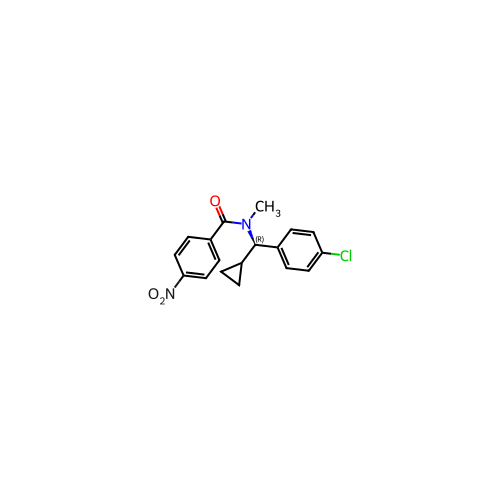 CN(C(=O)c1ccc([N+](=O)[O-])cc1)[C@@H](c1ccc(Cl)cc1)C1CC1